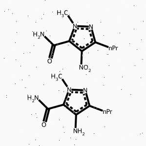 CCCc1nn(C)c(C(N)=O)c1N.CCCc1nn(C)c(C(N)=O)c1[N+](=O)[O-]